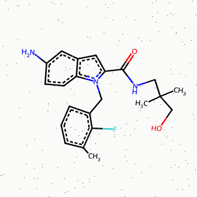 Cc1cccc(Cn2c(C(=O)NCC(C)(C)CO)cc3cc(N)ccc32)c1F